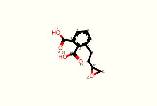 O=C(O)c1cccc(CCC2CO2)c1C(=O)O